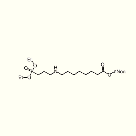 CCCCCCCCCOC(=O)CCCCCCCNCCCP(=O)(OCC)OCC